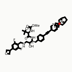 COC(=O)NC(C(=O)N[C@@H](Cc1ccc(C#Cc2ccc(N3CC4CCC(C3)N4C3COC3)nc2)cc1)[C@@H](O)CNCc1c(F)cc(C2COC2)cc1F)C(C)(C)C(F)(F)F